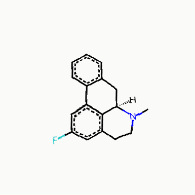 CN1CCc2cc(F)cc3c2[C@H]1Cc1ccccc1-3